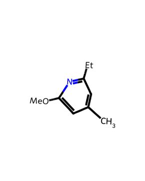 CCc1cc(C)cc(OC)n1